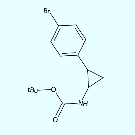 CC(C)(C)OC(=O)NC1CC1c1ccc(Br)cc1